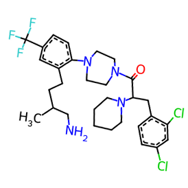 CC(CN)CCc1cc(C(F)(F)F)ccc1N1CCN(C(=O)C(Cc2ccc(Cl)cc2Cl)N2CCCCC2)CC1